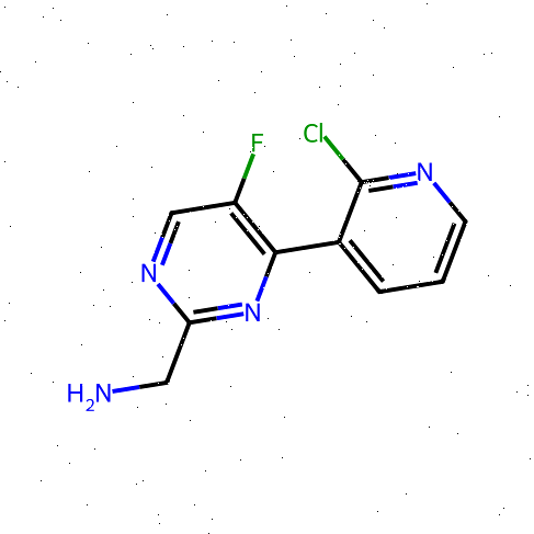 NCc1ncc(F)c(-c2cccnc2Cl)n1